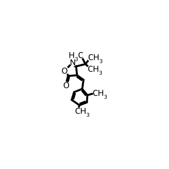 Cc1ccc(C=C2C(=O)ON=C2C(C)(C)C)c(C)c1